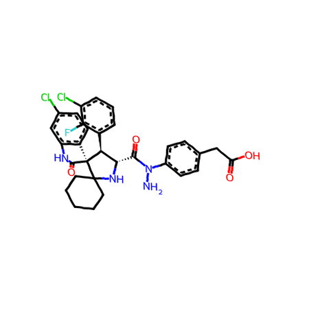 NN(C(=O)[C@@H]1NC2(CCCCC2)[C@@]2(C(=O)Nc3cc(Cl)ccc32)[C@H]1c1cccc(Cl)c1F)c1ccc(CC(=O)O)cc1